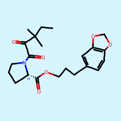 CCC(C)(C)C(=O)C(=O)N1CCC[C@H]1C(=O)OCCCc1ccc2c(c1)OCO2